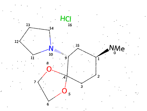 CN[C@H]1CCC2(OCCO2)[C@H](N2CCCC2)C1.Cl